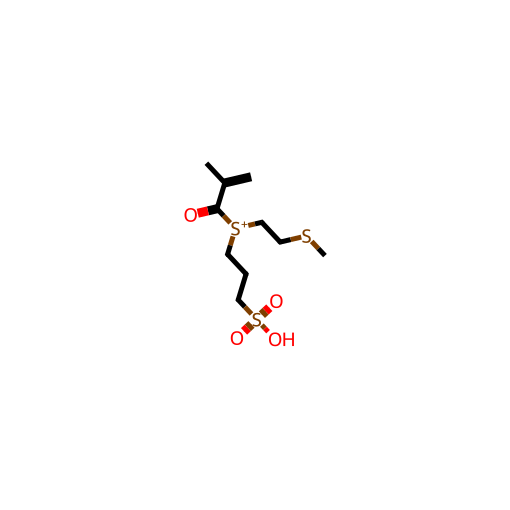 C=C(C)C(=O)[S+](CCCS(=O)(=O)O)CCSC